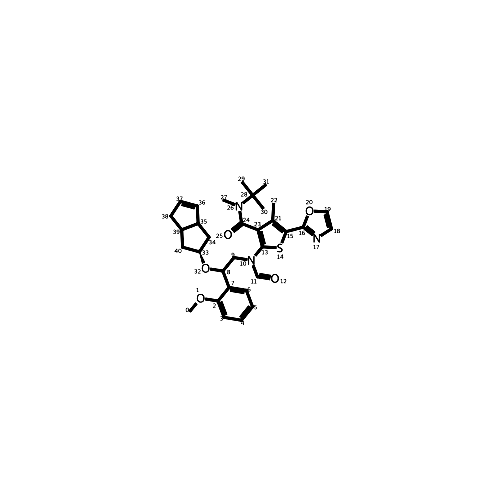 COc1ccccc1C(CN(C=O)c1sc(-c2ncco2)c(C)c1C(=O)N(C)C(C)(C)C)O[C@@H]1CC2C=CCC2C1